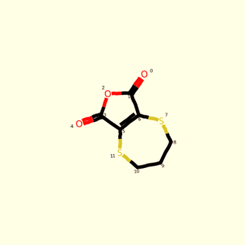 O=C1OC(=O)C2=C1SCCCS2